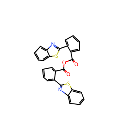 O=C(OC(=O)c1ccccc1-c1nc2ccccc2s1)c1ccccc1-c1nc2ccccc2s1